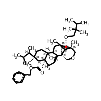 CC(C)[C@@H](C)[C@@]1(C)CC[C@]2(C)[C@H]3CC[C@@H]4[C@@]5(COC[C@]4(C)[C@@H](OCC(C)(C)C(C)C)[C@H](C)C5)C3=CC[C@@]2(C)[C@@H]1C(=O)OCc1ccccc1